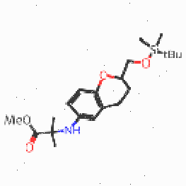 COC(=O)C(C)(C)Nc1ccc2c(c1)CCC(CO[Si](C)(C)C(C)(C)C)O2